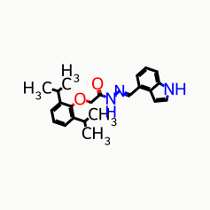 CC(C)c1cccc(C(C)C)c1OCC(=O)N/N=C/c1cccc2[nH]ccc12